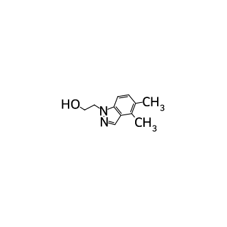 Cc1ccc2c(cnn2CCO)c1C